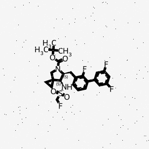 CC(C)(C)OC(=O)N1CC2(CC2)[C@H](NS(=O)(=O)CF)[C@@H]1Cc1cccc(-c2cc(F)cc(F)c2)c1F